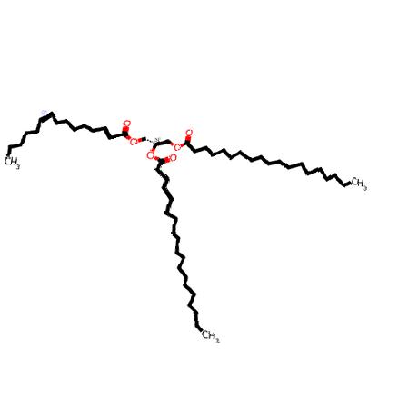 CCCCC/C=C\CCCCCCCC(=O)OC[C@H](COC(=O)CCCCCCCCCCCCCCCCCC)OC(=O)CCCCCCCCCCCCCCCCCC